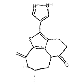 C[C@H]1CN2C(=O)CCc3c(-c4cn[nH]c4)sc(c32)C(=O)N1